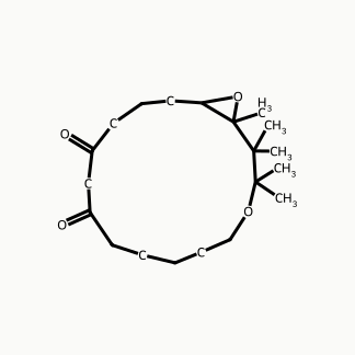 CC1(C)OCCCCCC(=O)CC(=O)CCCC2OC2(C)C1(C)C